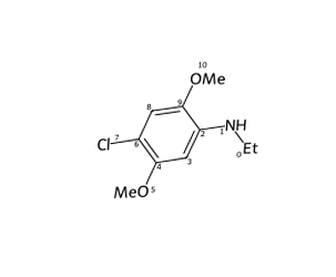 CCNc1cc(OC)c(Cl)cc1OC